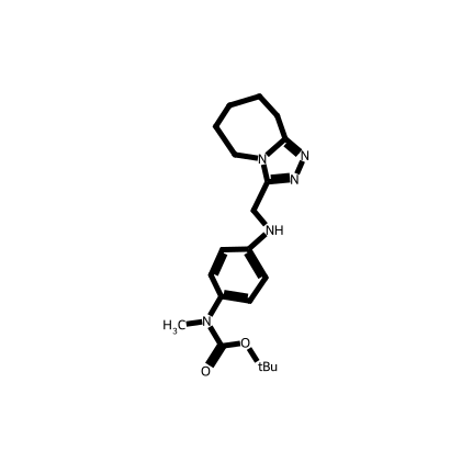 CN(C(=O)OC(C)(C)C)c1ccc(NCc2nnc3n2CCCCC3)cc1